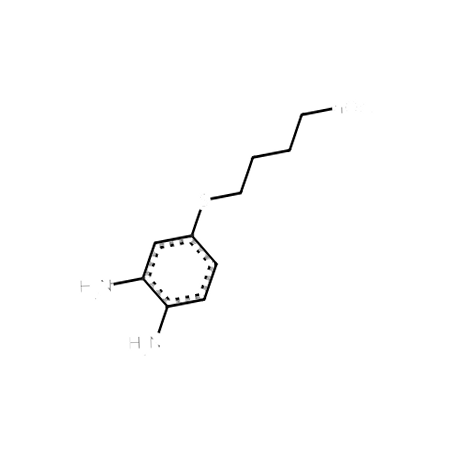 CCCCCCCCCCCCSc1ccc(N)c(N)c1